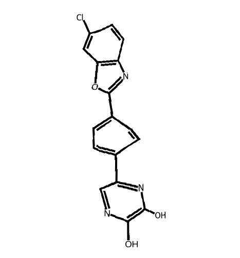 Oc1ncc(-c2ccc(-c3nc4ccc(Cl)cc4o3)cc2)nc1O